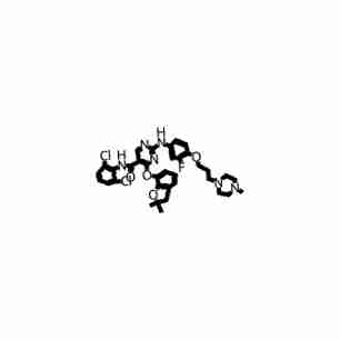 CN1CCN(CCCOc2ccc(Nc3ncc(C(=O)Nc4c(Cl)cccc4Cl)c(Oc4cccc5c4OC(C)(C)C5)n3)cc2F)CC1